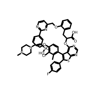 Cc1c(-c2c(-c3ccc(F)cc3)sc3ncnc(OC(Cc4ccccc4OCc4ccnc(-c5cccc(S(=O)O)c5)n4)C(=O)O)c23)ccc(OCCN2CCN(C)CC2)c1Cl